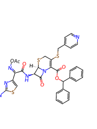 CC(=O)O/N=C(\C(=O)N[C@@H]1C(=O)N2C(C(=O)OC(c3ccccc3)c3ccccc3)=C(SCc3ccncc3)CS[C@H]12)c1csc(N)n1